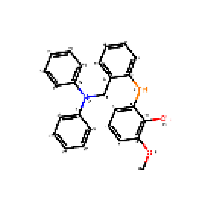 COc1cccc(Pc2ccccc2CN(c2ccccc2)c2ccccc2)c1O